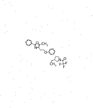 CC[C@@H]1CN(C(=O)C(F)(F)F)C[C@H]1c1cccc(OCCc2nc(-c3ccccc3)oc2C)c1